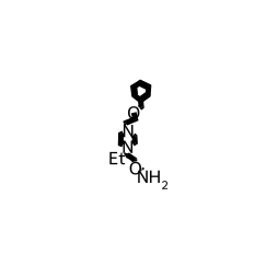 CCC(COCN)N1CCN(CCOCc2ccccc2)CC1